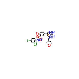 COc1ccc(C2=CNC(C)(NCC3CCOCC3)S2)cc1S(=O)(=O)Nc1ccc(F)cc1Cl